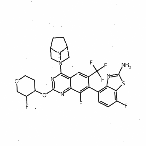 Nc1nc2c(-c3c(C(F)(F)F)cc4c(N5CC6CCC(C5)N6)nc(OC5CCOCC5F)nc4c3F)ccc(F)c2s1